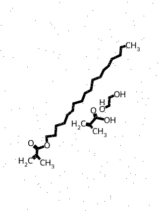 C=C(C)C(=O)O.C=C(C)C(=O)OCCCCCCCCCCCCCCCCCC.OCCO